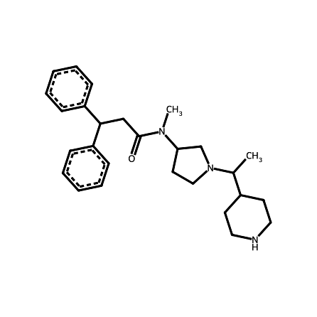 CC(C1CCNCC1)N1CCC(N(C)C(=O)CC(c2ccccc2)c2ccccc2)C1